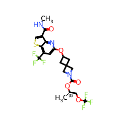 CNC(=O)c1csc2c(C(F)(F)F)cc(OC3CC4(C3)CN(C(=O)O[C@@H](C)COC(F)(F)F)C4)nc12